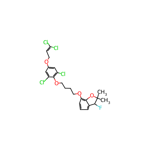 CC1(C)Oc2c(OCCCCOc3c(Cl)cc(OCC=C(Cl)Cl)cc3Cl)cccc2C1F